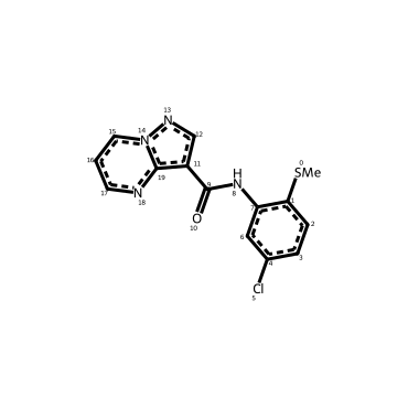 CSc1ccc(Cl)cc1NC(=O)c1cnn2cccnc12